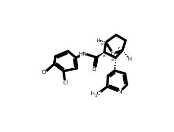 Cc1cc([C@@H]2[C@@H](C(=O)Nc3ccc(Cl)c(Cl)c3)[C@H]3CC[C@@H]2O3)ccn1